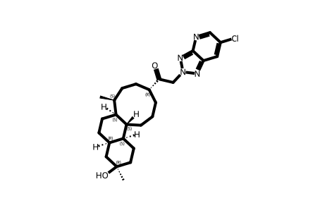 C[C@H]1CC[C@H](C(=O)Cn2nc3cc(Cl)cnc3n2)CCC[C@H]2[C@H]1CC[C@@H]1C[C@](C)(O)CC[C@@H]12